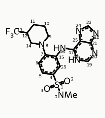 CNS(=O)(=O)c1ccc(N2CCCC(C(F)(F)F)C2)c(Nc2[nH]cnc3ncnc2-3)c1